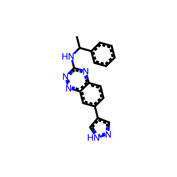 CC(Nc1nnc2cc(-c3cn[nH]c3)ccc2n1)c1ccccc1